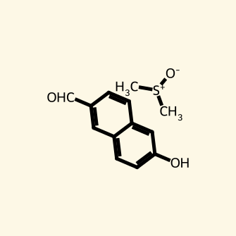 C[S+](C)[O-].O=Cc1ccc2cc(O)ccc2c1